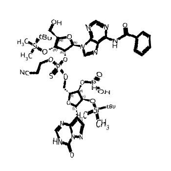 CC(C)(C)[Si](C)(C)O[C@@H]1[C@H](O[PH](=O)O)[C@@H](COP(=S)(OCCC#N)O[C@@H]2[C@H](O[Si](C)(C)C(C)(C)C)[C@@H](CO)O[C@H]2n2cnc3c(NC(=O)c4ccccc4)ncnc32)O[C@H]1c1cnn2c(=O)[nH]cnc12